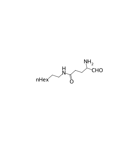 CCCCCCCCNC(=O)CCC(N)C=O